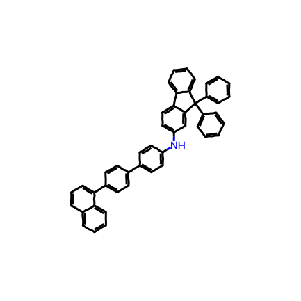 c1ccc(C2(c3ccccc3)c3ccccc3-c3ccc(Nc4ccc(-c5ccc(-c6cccc7ccccc67)cc5)cc4)cc32)cc1